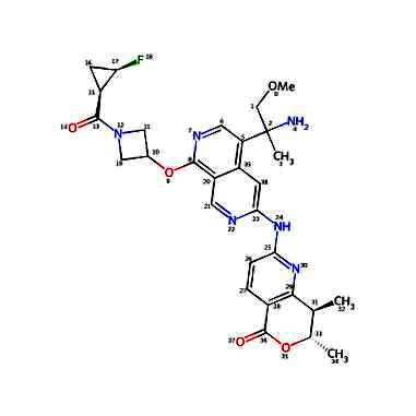 COCC(C)(N)c1cnc(OC2CN(C(=O)[C@H]3C[C@H]3F)C2)c2cnc(Nc3ccc4c(n3)[C@@H](C)[C@H](C)OC4=O)cc12